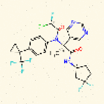 C[C@@](C(=O)N[C@H]1CCC(F)(F)C1)(c1cncnc1)N(C(=O)[C@H](F)Cl)c1ccc(C2(C(F)(F)F)CC2)cc1